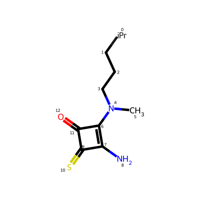 CC(C)CCCN(C)c1c(N)c(=S)c1=O